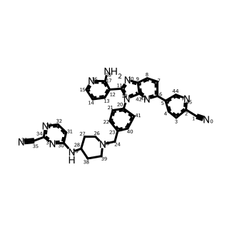 N#Cc1ccc(-c2ccc3nc(-c4cccnc4N)n(-c4ccc(CN5CCC(Nc6ccnc(C#N)n6)CC5)cc4)c3n2)cn1